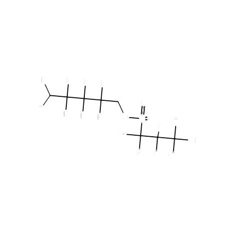 O=S(=O)(OCC(F)(F)C(F)(F)C(F)(F)C(F)F)C(F)(F)C(F)(F)C(F)(F)C(F)(F)F